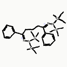 C[Si](C)(C)N(/N=C(/CCC/C(=N\N([Si](C)(C)C)[Si](C)(C)C)c1ccccc1)c1ccccc1)[Si](C)(C)C